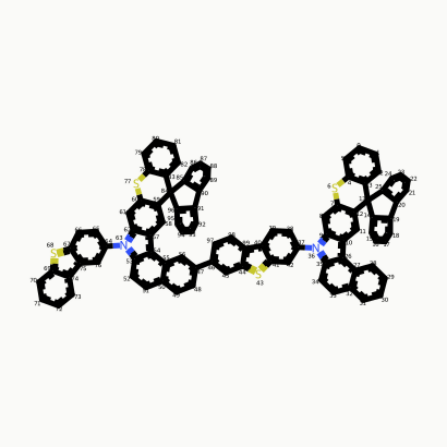 c1ccc2c(c1)Sc1cc3c(cc1C21c2ccccc2-c2ccccc21)c1c2ccccc2ccc1n3-c1ccc2c(c1)sc1cc(-c3ccc4ccc5c(c4c3)c3cc4c(cc3n5-c3ccc5sc6ccccc6c5c3)Sc3ccccc3C43c4ccccc4-c4ccccc43)ccc12